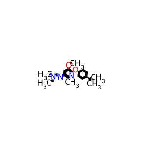 CCN(C)/C=N/c1cc(OC)c(O[C@H]2CC[C@H](C(C)C)CC2)nc1C